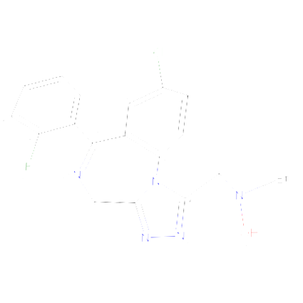 CCN(O)Cc1nnc2n1-c1ccc(Cl)cc1C(c1ccccc1F)=NC2